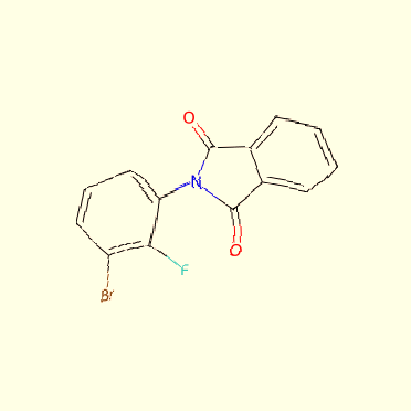 O=C1c2ccccc2C(=O)N1c1cccc(Br)c1F